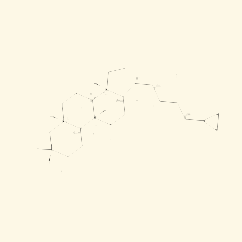 C[C@H](CC[C@@H](O)C1CC1)[C@H]1CC[C@H]2[C@@H]3CC[C@H]4C[C@@](C)(O)CC[C@]4(C)[C@H]3CC[C@]12C